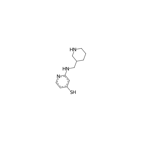 Sc1ccnc(NCC2CCCNC2)c1